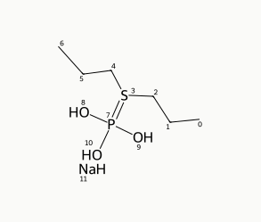 CCCS(CCC)=P(O)(O)O.[NaH]